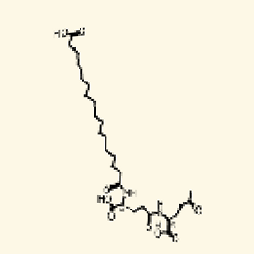 CC(=O)CC[C@H](NC(=O)CC[C@H](NC(=O)CCCCCCCCCCCCCCCCC(=O)O)C(=O)O)C(=O)O